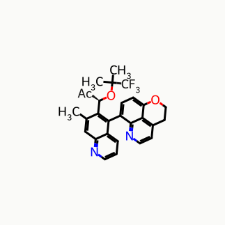 CC(=O)[C@@H](OC(C)(C)C(F)(F)F)c1c(C)cc2ncccc2c1-c1ccc2c3c(ccnc13)CCO2